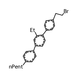 CCCCCc1ccc(-c2ccc(-c3ccc(CCBr)cc3)c(CC)c2)cc1